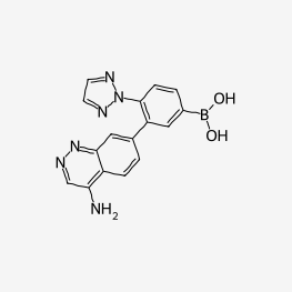 Nc1cnnc2cc(-c3cc(B(O)O)ccc3-n3nccn3)ccc12